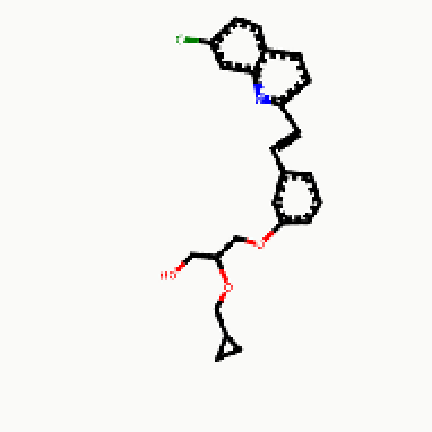 OCC(COc1cccc(C=Cc2ccc3ccc(Cl)cc3n2)c1)OCC1CC1